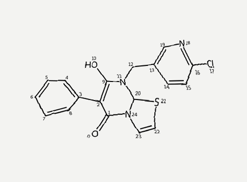 O=C1C(c2ccccc2)=C(O)N(Cc2ccc(Cl)nc2)C2SC=CN12